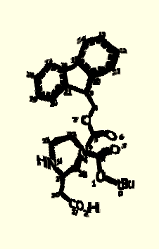 CC(C)(C)OC(=O)[N+]1(C(=O)OCC2c3ccccc3-c3ccccc32)CCNC(CC(=O)O)C1